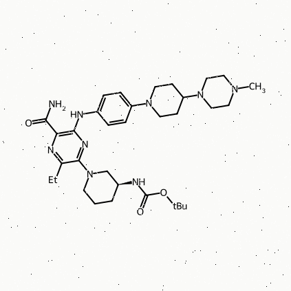 CCc1nc(C(N)=O)c(Nc2ccc(N3CCC(N4CCN(C)CC4)CC3)cc2)nc1N1CCC[C@H](NC(=O)OC(C)(C)C)C1